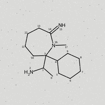 CC(N)C1(C2CCCCC2)CCCCC(=N)N1C